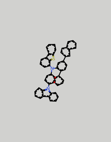 c1ccc(-c2ccc(-c3ccc4ccccc4c3)cc2N(c2ccc(-n3c4ccccc4c4ccccc43)cc2)c2cccc3c2sc2ccccc23)cc1